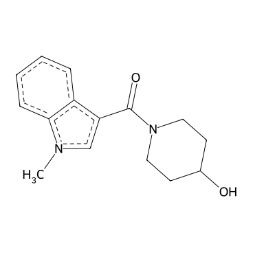 Cn1cc(C(=O)N2CCC(O)CC2)c2ccccc21